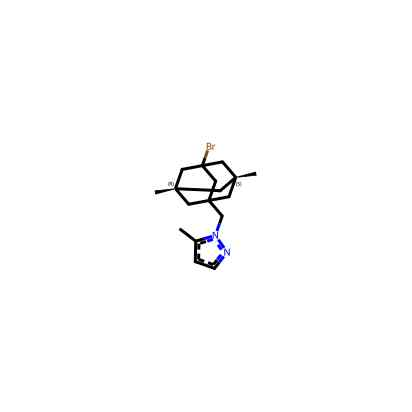 Cc1ccnn1CC12CC3(Br)C[C@@](C)(C1)C[C@](C)(C3)C2